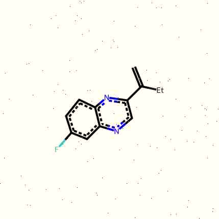 C=C(CC)c1cnc2cc(F)ccc2n1